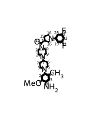 COc1cc(N2CCC(N3CCN(C(=O)C4CCN(c5cc(F)cc(F)c5)C4)CC3)CC2)c(C)cc1N